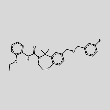 CCOc1ccccc1NC(=O)N1CCOc2ccc(COCc3cccc(F)c3)cc2C1(C)C